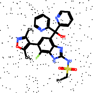 Cc1noc(C)c1-c1cc(C(O)(c2ccccn2)c2ccccn2)c2nc(NS(=O)(=O)CC(C)C)[nH]c2c1F